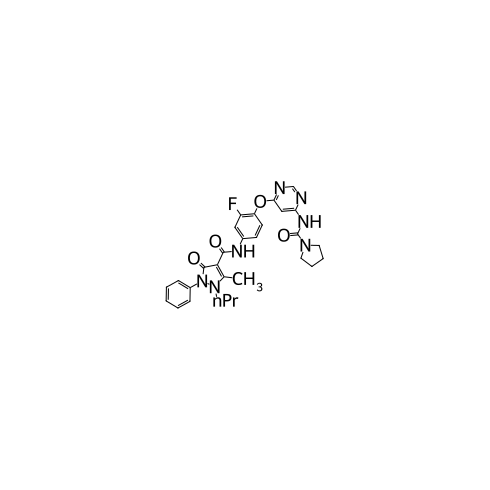 CCCn1c(C)c(C(=O)Nc2ccc(Oc3cc(NC(=O)N4CCCC4)ncn3)c(F)c2)c(=O)n1-c1ccccc1